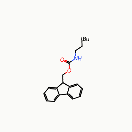 CC(C)(C)CCNC(=O)OCC1c2ccccc2-c2ccccc21